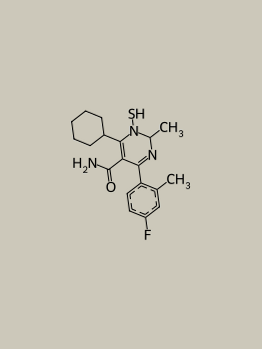 Cc1cc(F)ccc1C1=NC(C)N(S)C(C2CCCCC2)=C1C(N)=O